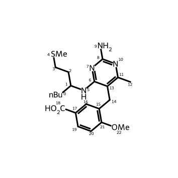 CCCCC(CCSC)Nc1nc(N)nc(C)c1Cc1cc(C(=O)O)ccc1OC